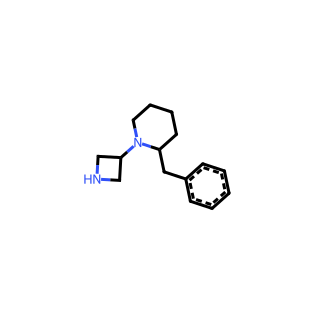 c1ccc(CC2CCCCN2C2CNC2)cc1